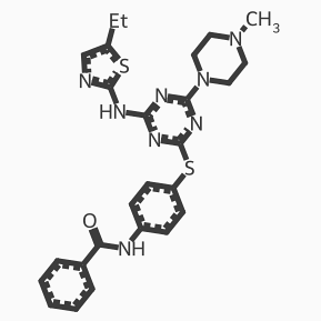 CCc1cnc(Nc2nc(Sc3ccc(NC(=O)c4ccccc4)cc3)nc(N3CCN(C)CC3)n2)s1